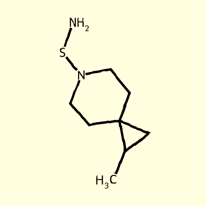 CC1CC12CCN(SN)CC2